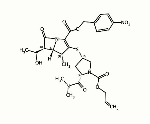 C=CCOC(=O)N1C[C@@H](SC2=C(C(=O)OCc3ccc([N+](=O)[O-])cc3)N3C(=O)[C@H](C(C)O)[C@H]3[C@H]2C)C[C@H]1C(=O)N(C)C